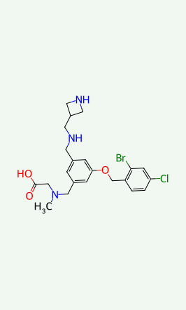 CN(CC(=O)O)Cc1cc(CNCC2CNC2)cc(OCc2ccc(Cl)cc2Br)c1